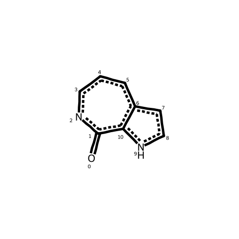 O=c1ncccc2cc[nH]c12